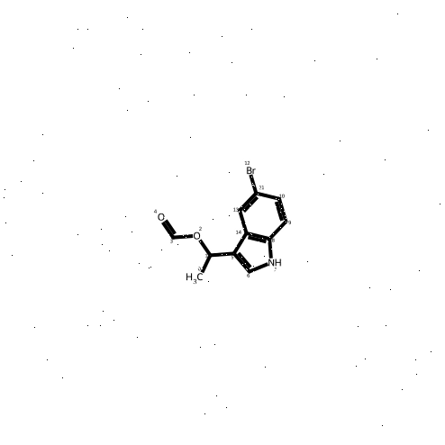 CC(OC=O)c1c[nH]c2ccc(Br)cc12